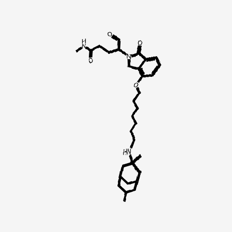 CNC(=O)CCC(C=O)N1Cc2c(OCCCCCCCNC3(C)CC4CC(C)CC(C4)C3)cccc2C1=O